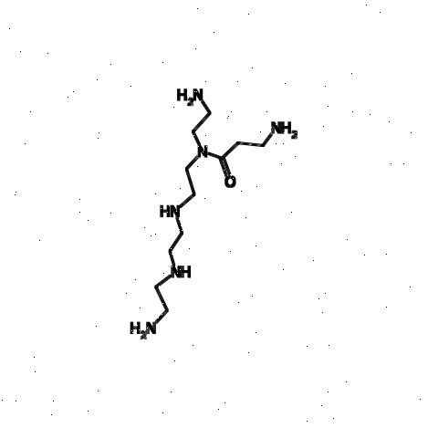 NCCNCCNCCN(CCN)C(=O)CCN